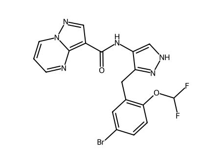 O=C(Nc1c[nH]nc1Cc1cc(Br)ccc1OC(F)F)c1cnn2cccnc12